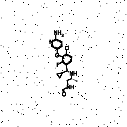 C[C@H](CNC=O)N[C@@H](c1ccc(Cl)c(Oc2ccc(N)nc2)c1F)C1CC1